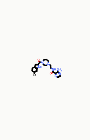 CCc1ccc2cc(C(=O)N3CCCN(CCNC(=O)c4nccnc4N)CC3)[nH]c2c1